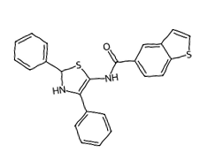 O=C(NC1=C(c2ccccc2)NC(c2ccccc2)S1)c1ccc2sccc2c1